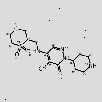 O=c1c(Cl)c(NCC2COCCS2(=O)=O)cnn1C1CCNCC1